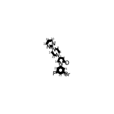 O=C1CC(N2CCN(c3ncccn3)CC2)CN1c1cc(F)cc(Br)c1